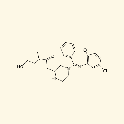 CN(CCO)C(=O)CC1CN(C2=Nc3cc(Cl)ccc3Oc3ccccc32)CCN1